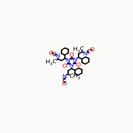 CC(CC(C1CCCCC1)n1c(=O)n(C(CC(C)N=C=O)C2CCCCC2)c(=O)n(C(CC(C)N=C=O)C2CCCCC2)c1=O)N=C=O